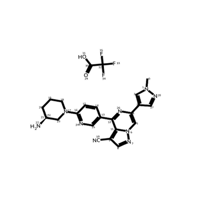 Cn1cc(-c2cn3ncc(C#N)c3c(-c3ccc(N4CCC[C@H](N)C4)nc3)n2)cn1.O=C(O)C(F)(F)F